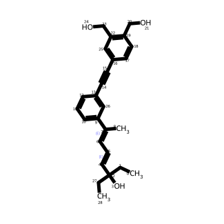 CCC(O)(/C=C/C=C(\C)c1cccc(C#Cc2ccc(CO)c(CO)c2)c1)CC